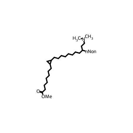 CCCCCCCCCC(CCCCCCCCC1CC1CCCCCCCC(=O)OC)CCN(C)C